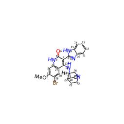 COc1cc2[nH]c(=O)c(-c3nc4ccccc4[nH]3)c(N[C@H]3CN4CCC3CC4)c2cc1Br